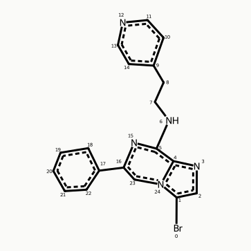 Brc1cnc2c(NCCc3ccncc3)nc(-c3ccccc3)cn12